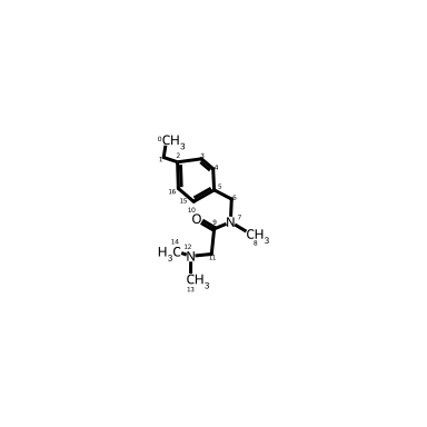 CCc1ccc(CN(C)C(=O)CN(C)C)cc1